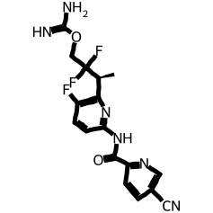 C[C@@H](c1nc(NC(=O)c2ccc(C#N)cn2)ccc1F)C(F)(F)COC(=N)N